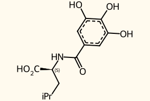 CC(C)C[C@H](NC(=O)c1cc(O)c(O)c(O)c1)C(=O)O